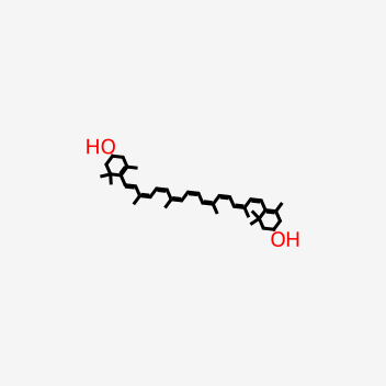 CC1=C(\C=C/C(C)=C\C=C/C(C)=C\C=C/C=C(C)\C=C/C=C(C)\C=C\C2=C(C)C[C@@H](O)CC2(C)C)C(C)(C)C[C@H](O)C1